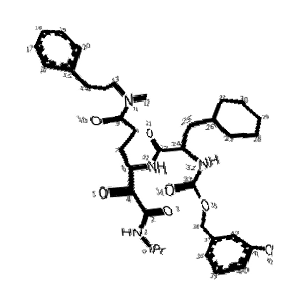 CC(C)NC(=O)C(=O)C(CCC(=O)N(C)CCc1ccccc1)NC(=O)C(CC1CCCCC1)NC(=O)OCc1cccc(Cl)c1